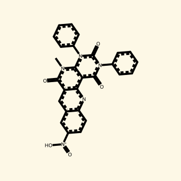 Cn1c(=O)c2cc3cc([N+](=O)O)ccc3nc2c2c(=O)n(-c3ccccc3)c(=O)n(-c3ccccc3)c21